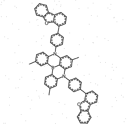 Cc1ccc2c(c1)B1c3ccc(C)cc3N(c3ccc(-c4cccc5c4oc4ccccc45)cc3)c3cc(C)cc(c31)N2c1ccc(-c2cccc3c2oc2ccccc23)cc1